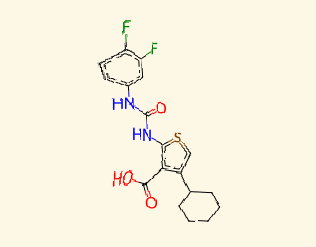 O=C(Nc1ccc(F)c(F)c1)Nc1scc(C2CCCCC2)c1C(=O)O